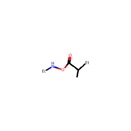 CCNOC(=O)C(C)CC